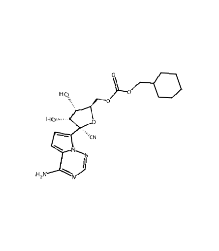 N#C[C@@]1(c2ccc3c(N)ncnn23)O[C@H](COC(=O)OCC2CCCCC2)[C@@H](O)[C@H]1O